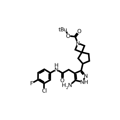 CC(C)(C)OC(=O)N1CC2(CCC(c3n[nH]c(N)c3CC(=O)Nc3ccc(F)c(Cl)c3)C2)C1